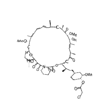 CO[C@H]1C[C@@H]2CC[C@@H](C)[C@@](O)(O2)C(=O)C(=O)N2CCCC[C@H]2C(=O)O[C@H]([C@H](C)C[C@@H]2CC[C@@H](OC(=O)CCl)[C@H](OC)C2)CC(=O)[C@H](C)/C=C(\C)[C@@H](O)[C@@H](OC)C(=O)[C@H](C)C[C@H](C)/C=C/C=C/C=C/1C